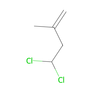 C=C(C)CC(Cl)Cl